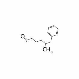 CC(CCC[C]=O)Cc1ccccc1